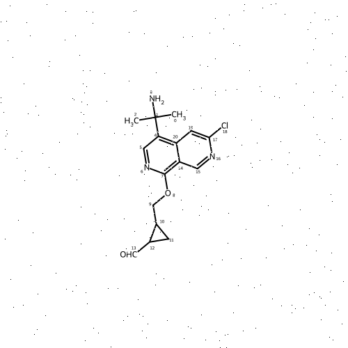 CC(C)(N)c1cnc(OCC2CC2C=O)c2cnc(Cl)cc12